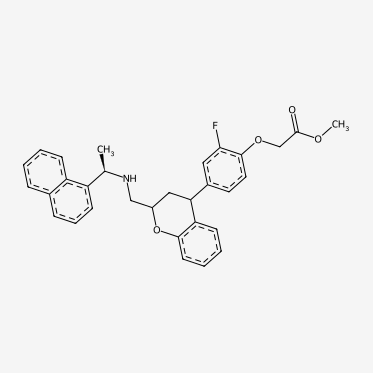 COC(=O)COc1ccc(C2CC(CN[C@H](C)c3cccc4ccccc34)Oc3ccccc32)cc1F